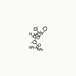 CCCN(CCC)C(=O)c1cc(C)cc(C(=O)O[C@H](CNCc2ccccc2)[C@H](N)Cc2cccs2)c1